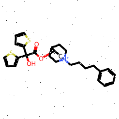 O=C(OC1C[N+]2(CCCCc3ccccc3)CCC1CC2)C(O)(c1cccs1)c1cccs1